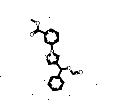 COC(=O)c1cccc(-n2cc(C(OC=O)c3ccccc3)cn2)c1